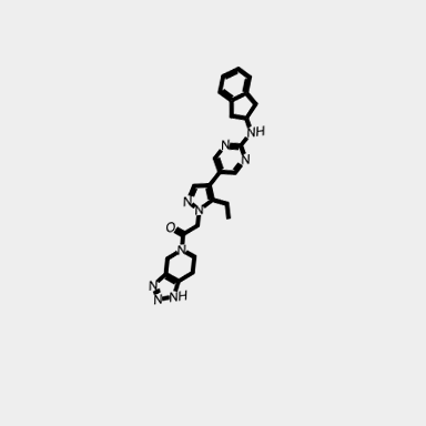 CCc1c(-c2cnc(NC3Cc4ccccc4C3)nc2)cnn1CC(=O)N1CCc2[nH]nnc2C1